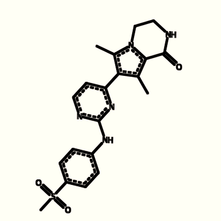 Cc1c(-c2ccnc(Nc3ccc(S(C)(=O)=O)cc3)n2)c(C)n2c1C(=O)NCC2